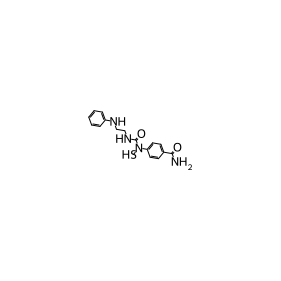 NC(=O)c1ccc(N(S)C(=O)NCCNc2ccccc2)cc1